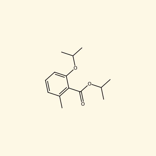 Cc1cccc(OC(C)C)c1C(=O)OC(C)C